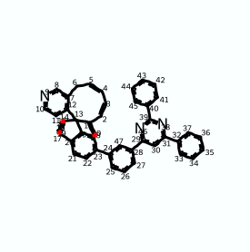 C=C1/C=C\C=C/Cc2cnccc2C12c1ccccc1-c1ccc(-c3cccc(-c4cc(-c5ccccc5)nc(-c5ccccc5)n4)c3)cc12